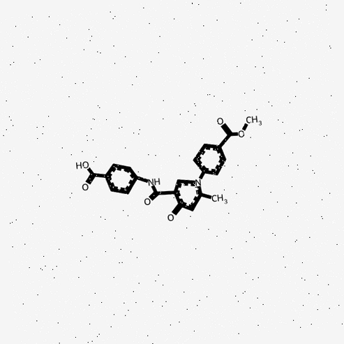 COC(=O)c1ccc(-n2cc(C(=O)Nc3ccc(C(=O)O)cc3)c(=O)cc2C)cc1